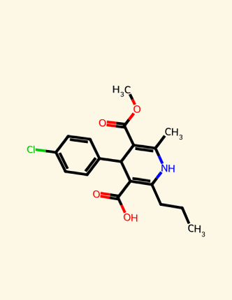 CCCC1=C(C(=O)O)C(c2ccc(Cl)cc2)C(C(=O)OC)=C(C)N1